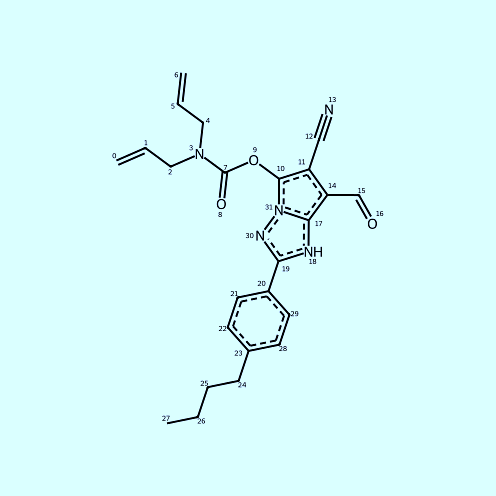 C=CCN(CC=C)C(=O)Oc1c(C#N)c(C=O)c2[nH]c(-c3ccc(CCCC)cc3)nn12